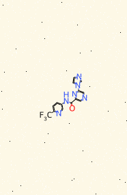 O=C(Nc1ccc(C(F)(F)F)nc1)c1cncc(-n2ccnc2)n1